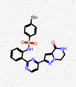 CC(C)(C)c1ccc(S(=O)(=O)Nc2ccccc2-c2nccc(-c3cc4n(n3)CCNC4=O)n2)cc1